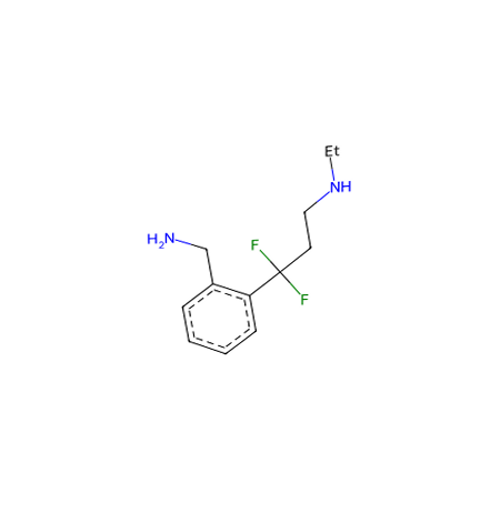 CCNCCC(F)(F)c1ccccc1CN